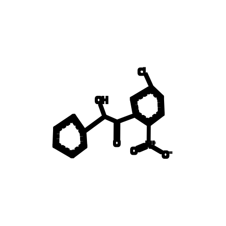 O=C(c1cc(Cl)ccc1[N+](=O)[O-])C(O)c1ccccc1